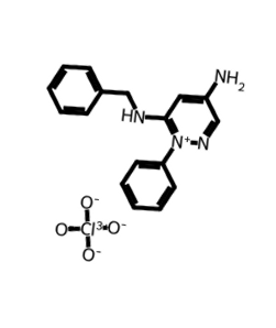 Nc1cn[n+](-c2ccccc2)c(NCc2ccccc2)c1.[O-][Cl+3]([O-])([O-])[O-]